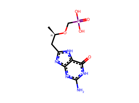 C[C@H](Cc1nc2nc(N)[nH]c(=O)c2[nH]1)OCP(=O)(O)O